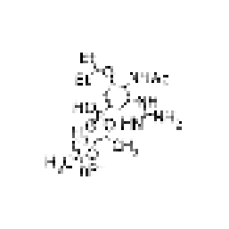 CCCC(C)(C)OCC(C)OP(=O)(O)C1=C[C@@H](OC(CC)CC)[C@H](NC(C)=O)[C@@H](NC(=N)N)C1